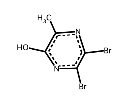 Cc1nc(Br)c(Br)nc1O